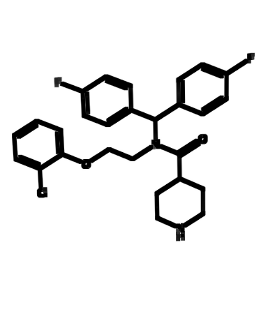 O=C(C1CCNCC1)N(CCOc1ccccc1Cl)C(c1ccc(F)cc1)c1ccc(F)cc1